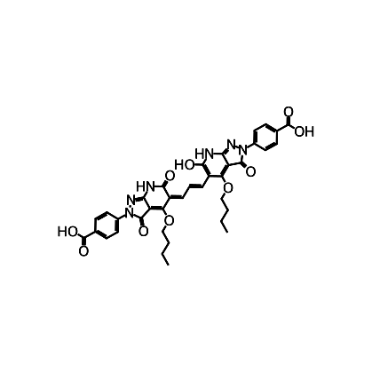 CCCCOc1c(C=CC=c2c(OCCCC)c3c([nH]c2=O)=NN(c2ccc(C(=O)O)cc2)C3=O)c(O)[nH]c2nn(-c3ccc(C(=O)O)cc3)c(=O)c1-2